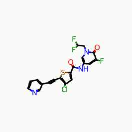 O=C(Nc1cc(F)c(=O)n(CC(F)F)c1)c1cc(Cl)c(C#Cc2cccnc2)s1